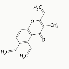 C=Cc1ccc2oc(C=C)c(C)c(=O)c2c1C=C